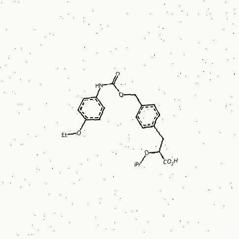 CCOc1ccc(NC(=O)OCc2ccc(CC(OC(C)C)C(=O)O)cc2)cc1